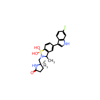 CC1c2cc(-c3c[nH]c4cc(F)ccc34)ccc2S(O)(O)N1C[C@@]1(C)CCC(=O)N1